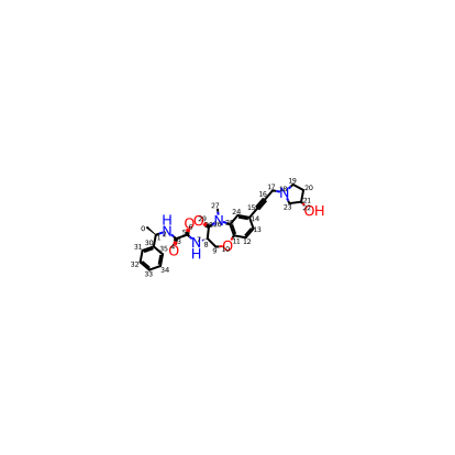 C[C@@H](NC(=O)C(=O)N[C@H]1COc2ccc(C#CCN3CCC(O)C3)cc2N(C)C1=O)c1ccccc1